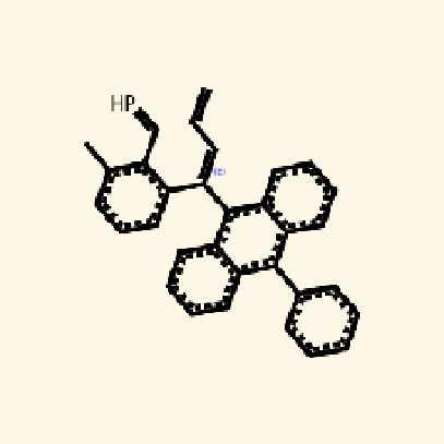 C=C/C=C(\c1cccc(C)c1C=P)c1c2ccccc2c(-c2ccccc2)c2ccccc12